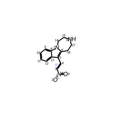 O=[N+]([O-])/C=C/c1c2n(c3ccccc13)CCNCC2